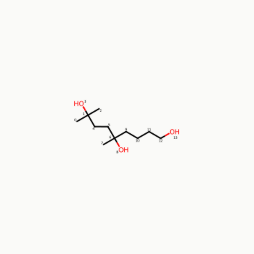 CC(C)(O)CCC(C)(O)CCCCO